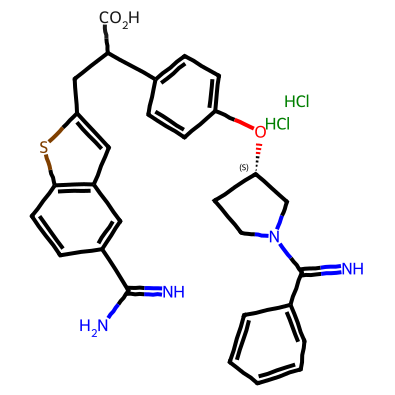 Cl.Cl.N=C(N)c1ccc2sc(CC(C(=O)O)c3ccc(O[C@H]4CCN(C(=N)c5ccccc5)C4)cc3)cc2c1